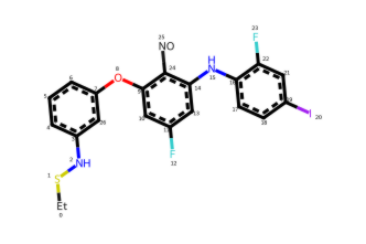 CCSNc1cccc(Oc2cc(F)cc(Nc3ccc(I)cc3F)c2N=O)c1